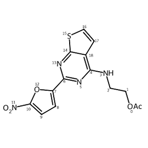 CC(=O)OCCNc1nc(-c2ccc([N+](=O)[O-])o2)nc2sccc12